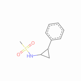 CS(=O)(=O)NC1C[C]1c1ccccc1